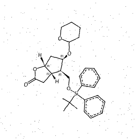 CC(C)(C)[Si](OC[C@H]1[C@@H]2CC(=O)O[C@@H]2C[C@H]1OC1CCCCO1)(c1ccccc1)c1ccccc1